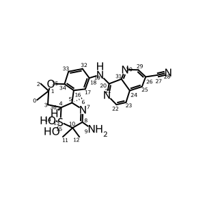 CC1(C)C[C@@H]2[C@](C)(N=C(N)C(C)(C)S2(O)O)c2cc(Nc3nccc4cc(C#N)cnc34)ccc2O1